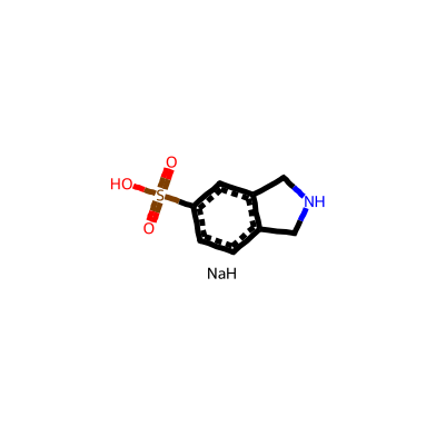 O=S(=O)(O)c1ccc2c(c1)CNC2.[NaH]